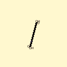 O=C(O)CCC/C=C/CCCCCCCCCCCCCCCC(=O)O